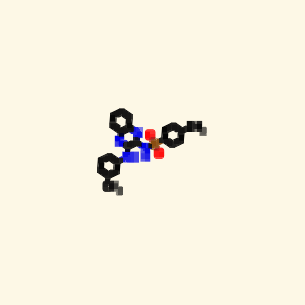 Bc1ccc(S(=O)(=O)Nc2nc3ccccc3nc2Nc2cccc(C)c2)cc1